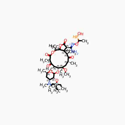 CC[Si](CC)(CC)O[C@H]1C(O[C@@H]2[C@@H](C)C(=O)[C@@H](C)C(=O)O[C@@H](C)[C@]3(C)OC(=O)[C@@H](/C(N)=N/OC(C)PO)[C@@H]3[C@@H](C)C(=O)[C@H](C)C[C@@]2(C)OC)O[C@H](C)C[C@@H]1N(C)C